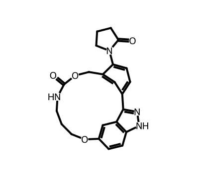 O=C1NCCCOc2ccc3[nH]nc(c3c2)-c2ccc(N3CCCC3=O)c(c2)CO1